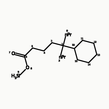 CCCC(CCC)(CCCC(=O)O[SiH3])C1CCCCC1